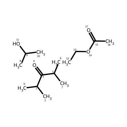 CC(C)C(=O)C(C)C.CC(C)O.CCOC(C)=O